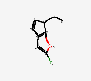 CCC1C=Cc2cc(Br)oc21